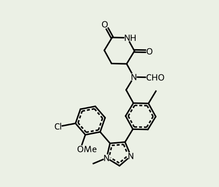 COc1c(Cl)cccc1-c1c(-c2ccc(C)c(CN(C=O)C3CCC(=O)NC3=O)c2)ncn1C